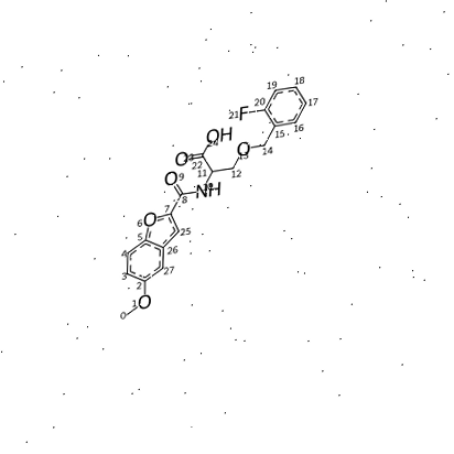 COc1ccc2oc(C(=O)NC(COCc3ccccc3F)C(=O)O)cc2c1